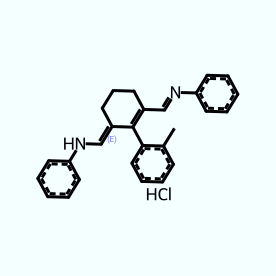 Cc1ccccc1C1=C(C=Nc2ccccc2)CCC/C1=C\Nc1ccccc1.Cl